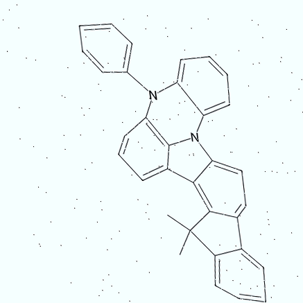 CC1(C)c2ccccc2-c2ccc3c(c21)c1cccc2c1n3-c1ccccc1N2c1ccccc1